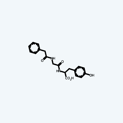 O=C(Cc1ccccc1)NCC(=O)NC(Cc1ccc(O)cc1)C(=O)O